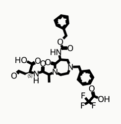 CC(C(=O)N[C@@H](CC=O)C(=O)O)N1CCN(Cc2ccccc2)CC(NC(=O)OCc2ccccc2)C1=O.O=C(O)C(F)(F)F